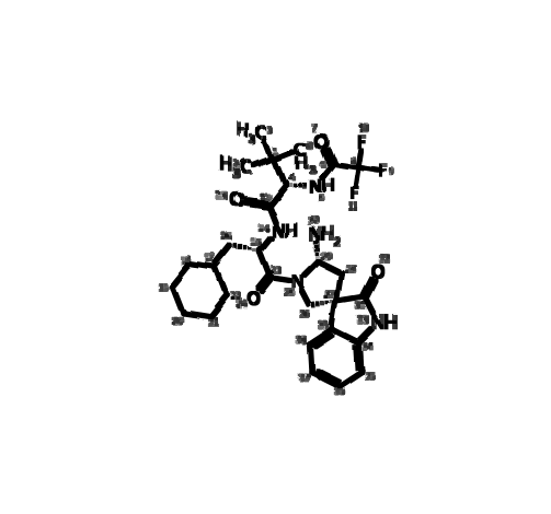 CC(C)(C)[C@H](NC(=O)C(F)(F)F)C(=O)N[C@@H](CC1CCCCC1)C(=O)N1C[C@]2(C[C@H]1N)C(=O)Nc1ccccc12